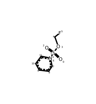 O=S(=O)(OCF)[n+]1ccccc1